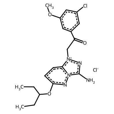 CCC(CC)Oc1ccc2n(n1)c(N)n[n+]2CC(=O)c1cc(Cl)cc(OC)c1.[Cl-]